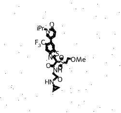 COCCS(=O)(=O)C(C(=O)NCC(=O)NC1CC1)c1nc2cc(C(F)(F)F)c(-c3ccc(=O)n(C(C)C)c3)cc2s1